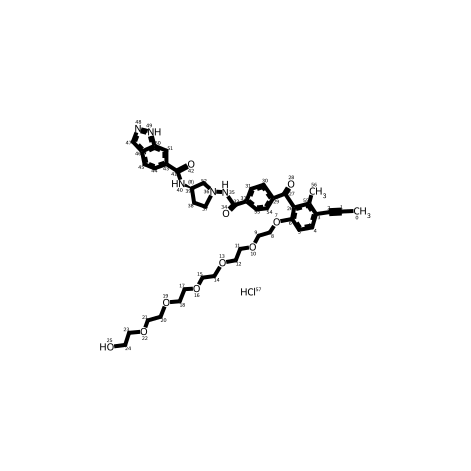 CC#Cc1ccc(OCCOCCOCCOCCOCCOCCO)c(C(=O)c2ccc(C(=O)NN3CC[C@@H](NC(=O)c4ccc5cn[nH]c5c4)C3)cc2)c1C.Cl